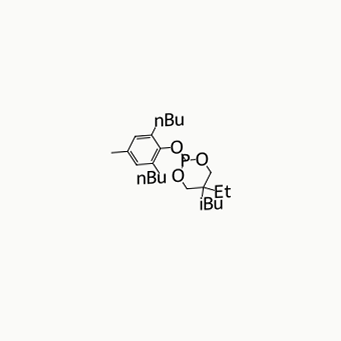 CCCCc1cc(C)cc(CCCC)c1OP1OCC(CC)(C(C)CC)CO1